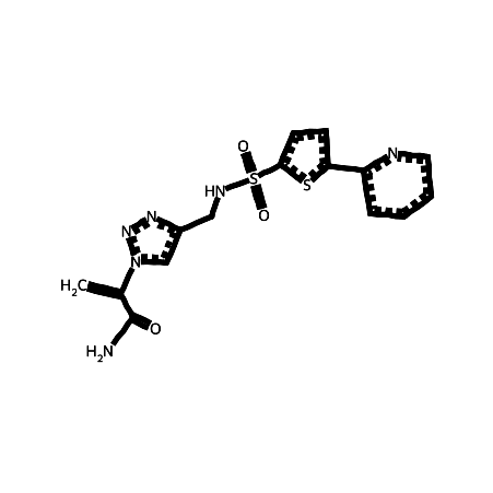 C=C(C(N)=O)n1cc(CNS(=O)(=O)c2ccc(-c3ccccn3)s2)nn1